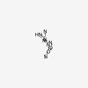 C[Si](C)(C)CCOCn1ccc2cnc(-c3cnn(C(CC#N)C4CCNC4)c3)nc21